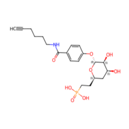 C#CCCCCNC(=O)c1ccc(O[C@H]2O[C@H](CCP(=O)(O)O)C[C@H](O)[C@@H]2O)cc1